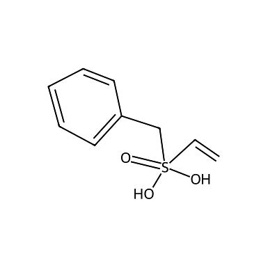 C=CS(=O)(O)(O)Cc1ccccc1